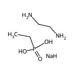 CCP(=O)(O)O.NCCN.[NaH]